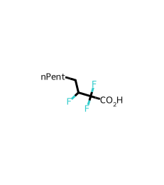 CCCCCCC(F)C(F)(F)C(=O)O